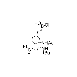 CCN(CC)C[C@@H]1CC[C@@H](CCB(O)O)C[C@]1(NC(C)=O)C(=O)NC(C)(C)C